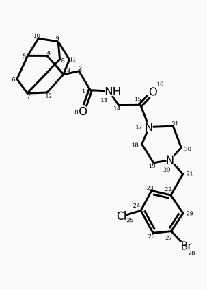 O=C(CC12CC3CC(CC(C3)C1)C2)NCC(=O)N1CCN(Cc2cc(Cl)cc(Br)c2)CC1